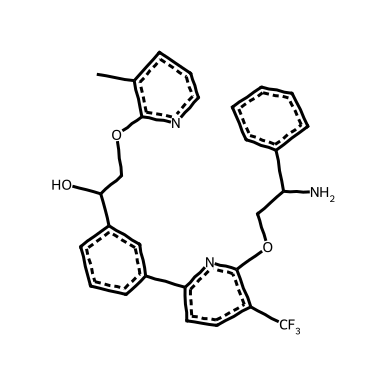 Cc1cccnc1OCC(O)c1cccc(-c2ccc(C(F)(F)F)c(OCC(N)c3ccccc3)n2)c1